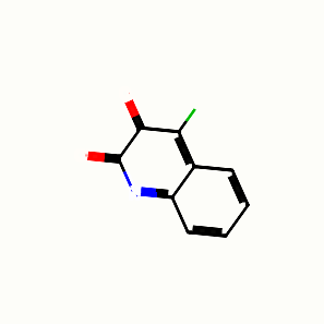 O=C1N=c2ccccc2=C(Cl)C1=O